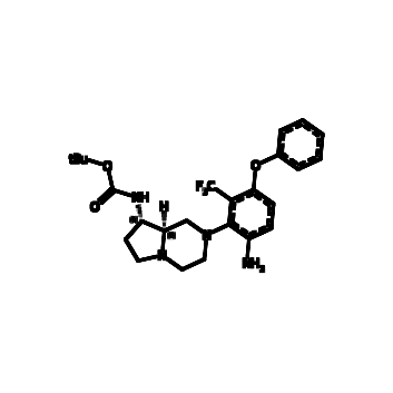 CC(C)(C)OC(=O)N[C@H]1CCN2CCN(c3c(N)ccc(Oc4ccccc4)c3C(F)(F)F)C[C@H]12